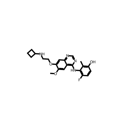 COc1cc2c(Nc3c(F)ccc(O)c3C)ncnc2cc1OCCNC1CCC1